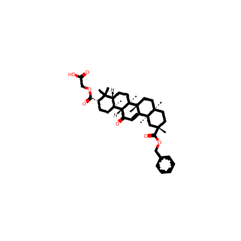 CC1(C)[C@@H](C(=O)OCC(=O)O)CC[C@]2(C)[C@H]3C(=O)C=C4[C@]5(C)C[C@@](C)(C(=O)OCc6ccccc6)CC[C@]5(C)CC[C@@]4(C)[C@]3(C)CC[C@@H]12